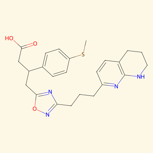 CSc1ccc(C(CC(=O)O)Cc2nc(CCCc3ccc4c(n3)NCCC4)no2)cc1